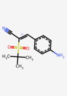 CC(C)(C)S(=O)(=O)/C(C#N)=C\c1ccc(N)cc1